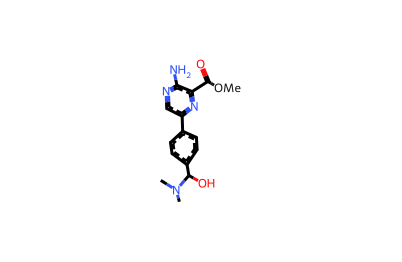 COC(=O)c1nc(-c2ccc(C(O)N(C)C)cc2)cnc1N